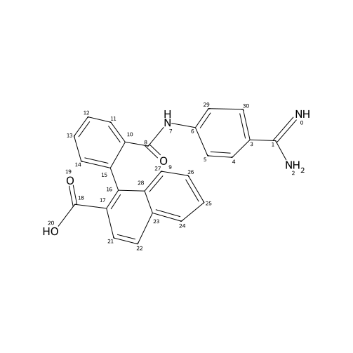 N=C(N)c1ccc(NC(=O)c2ccccc2-c2c(C(=O)O)ccc3ccccc23)cc1